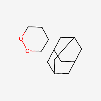 C1C2CC3CC1CC(C2)C3.C1CCOOC1